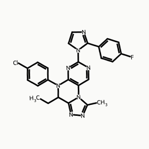 CCC1c2nnc(C)n2-c2cnc(-n3ccnc3-c3ccc(F)cc3)nc2N1c1ccc(Cl)cc1